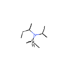 CCC(C)N(C(C)C)[SiH](C)C